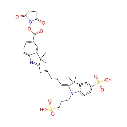 C=C1N=C(/C=C/C=C/C=C2/N(CCCS(=O)(=O)O)c3ccc(S(=O)(=O)O)cc3C2(C)C)C(C)(C)/C1=C/C(=C\C)C(=O)ON1C(=O)CCC1=O